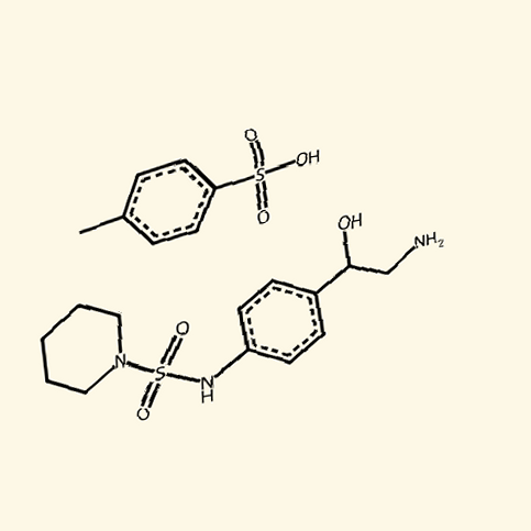 Cc1ccc(S(=O)(=O)O)cc1.NCC(O)c1ccc(NS(=O)(=O)N2CCCCC2)cc1